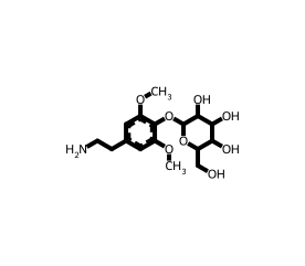 COc1cc(CCN)cc(OC)c1OC1OC(CO)C(O)C(O)C1O